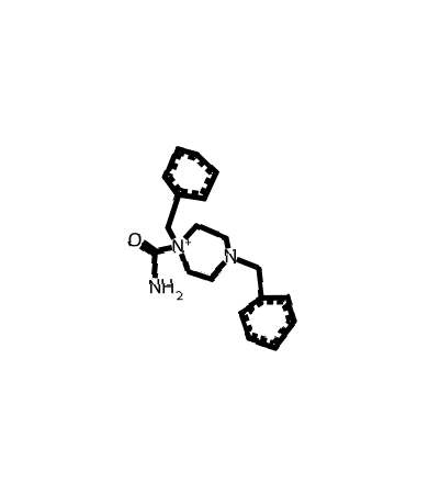 NC(=O)[N+]1(Cc2ccccc2)CCN(Cc2ccccc2)CC1